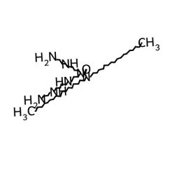 CCCCCCCCCCCCCCCCCCN(CCCCCCCCCCCCCCCCCC)C(=O)N(CCCCNCCCN)CCCNCCCCNCCCN